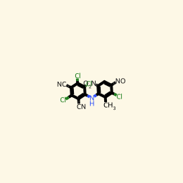 Cc1c(Cl)c(N=O)cc([N+](=O)[O-])c1Nc1c(Cl)c(Cl)c(C#N)c(Cl)c1C#N